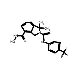 CC1(C)c2cccc(C(=O)NO)c2CN1C(=O)Nc1ccc(C(F)(F)F)cc1